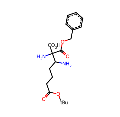 CC(C)(C)OC(=O)CCCC(N)C(N)(C(=O)O)C(=O)OCc1ccccc1